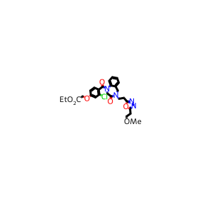 CCOC(=O)COc1ccc(C(=O)N2CC(=O)N(CCc3nnc(CCOC)o3)Cc3ccccc32)c(Cl)c1